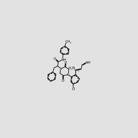 Cc1ccc(NC(=O)C(Cc2ccccc2)N2CC(=O)N(c3cc(Cl)ccc3/C(N)=C/C=N)CC2=O)cc1